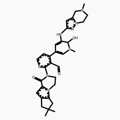 CN1CCn2nc(NC3=CC(c4ccnc(N5CCn6c(cc7c6CC(C)(C)C7)C5=O)c4C=O)=CN(C)C3O)cc2C1